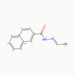 CCCC=NNC(=O)c1ccc2ccccc2c1